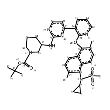 Cc1ccc2c(N(C3CC3)S(C)(=O)=O)c(F)ccc2c1Oc1ncccc1-c1ccnc(NC2CCCN(C(=O)OC(C)(C)C)C2)n1